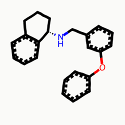 c1ccc(Oc2cccc(CN[C@H]3CCCc4ccccc43)c2)cc1